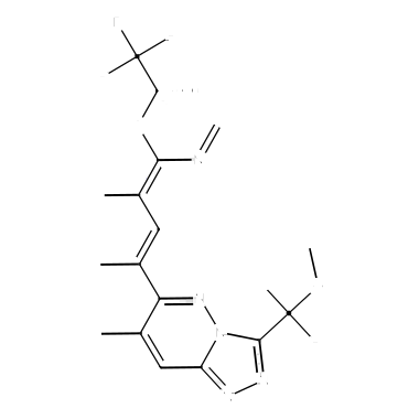 C=N/C(O[C@@H](C)C(F)(F)F)=C(F)\C=C(/C)c1nn2c(C(F)(F)OC)nnc2cc1C